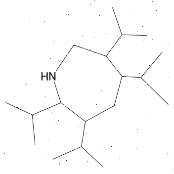 CC(C)C1CNC(C(C)C)C(C(C)C)CC1C(C)C